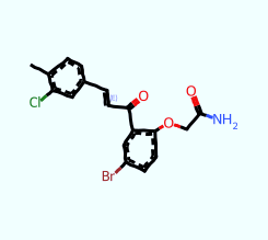 Cc1ccc(/C=C/C(=O)c2cc(Br)ccc2OCC(N)=O)cc1Cl